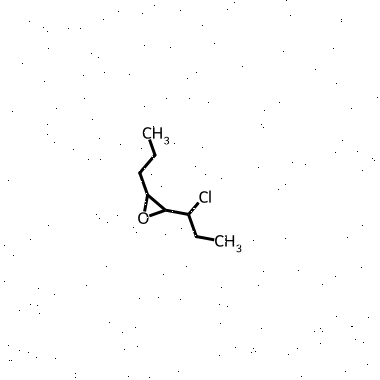 CCCC1OC1C(Cl)CC